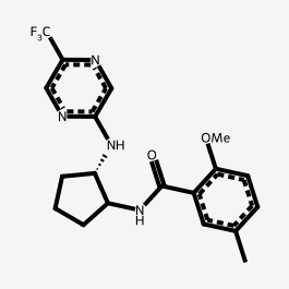 COc1ccc(C)cc1C(=O)NC1CCC[C@@H]1Nc1cnc(C(F)(F)F)cn1